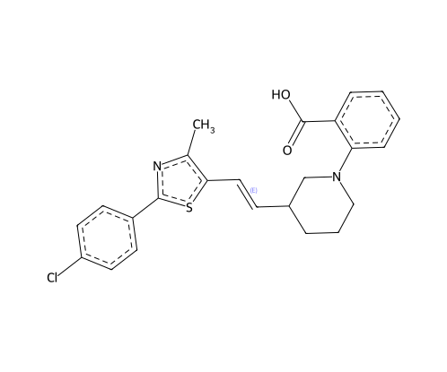 Cc1nc(-c2ccc(Cl)cc2)sc1/C=C/C1CCCN(c2ccccc2C(=O)O)C1